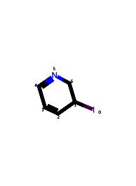 IC1C=CC=NC1